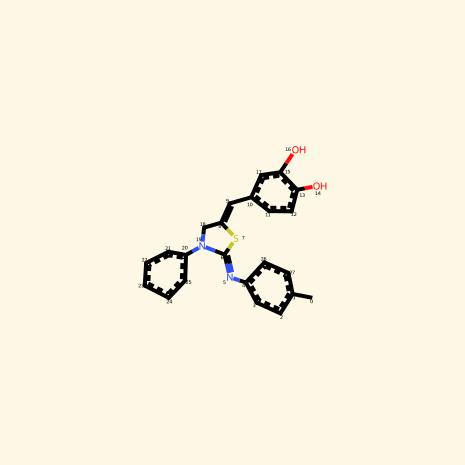 Cc1ccc(/N=C2\S/C(=C\c3ccc(O)c(O)c3)CN2c2ccccc2)cc1